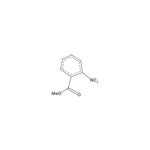 COC(=O)c1cc[c]cc1[N+](=O)[O-]